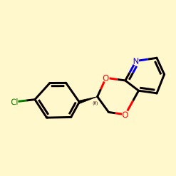 Clc1ccc([C@@H]2COc3cccnc3O2)cc1